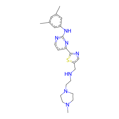 Cc1cc(C)cc(Nc2nccc(-c3ncc(CNCCN4CCN(C)CC4)s3)n2)c1